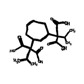 CC(C)C(C(=O)O)(C(=O)O)C1CCCCC(C(C(=O)O)(C(=O)O)C(C)C)C1